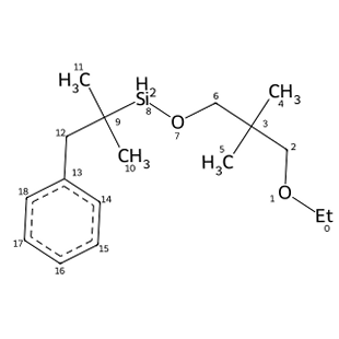 CCOCC(C)(C)CO[SiH2]C(C)(C)Cc1ccccc1